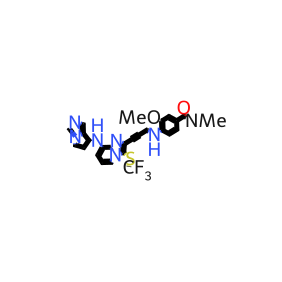 CNC(=O)c1ccc(NCC#Cc2nc3c(N[C@@H]4CCn5cncc54)cccn3c2SC(F)(F)F)c(OC)c1